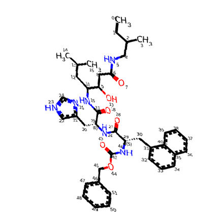 CCC(C)CNC(=O)CC(O)C(CC(C)C)NC(=O)[C@@H](Cc1c[nH]cn1)NC(=O)[C@H](Cc1cccc2ccccc12)NC(=O)OCc1ccccc1